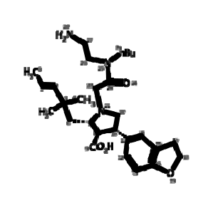 C/C=C/C(C)(C)C[C@H]1[C@H](C(=O)O)[C@@H](c2ccc3c(c2)CCO3)CN1CC(=O)N(CCN)CCCC